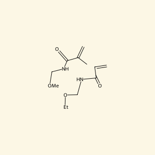 C=C(C)C(=O)NCOC.C=CC(=O)NCOCC